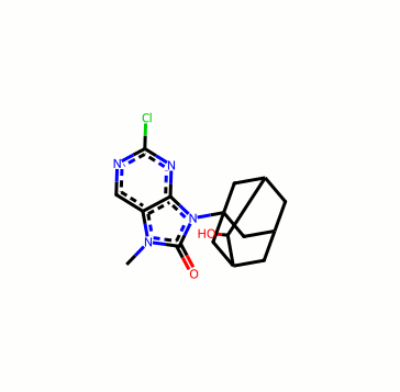 Cn1c(=O)n(C23CC4CC(C2)C(O)C(C4)C3)c2nc(Cl)ncc21